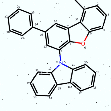 Cc1cccc2oc3c(-n4c5ccccc5c5ccccc54)cc(-c4ccccc4)cc3c12